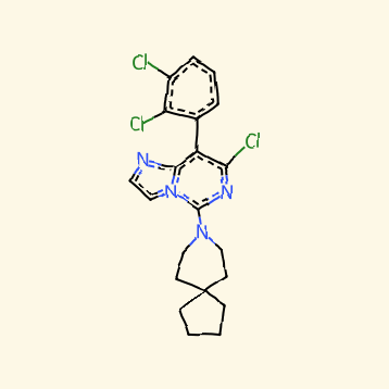 Clc1cccc(-c2c(Cl)nc(N3CCC4(CCCC4)CC3)n3ccnc23)c1Cl